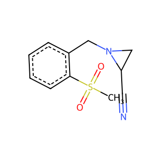 CS(=O)(=O)c1ccccc1CN1CC1C#N